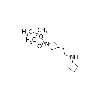 CC(C)(C)OC(=O)N1CC(CCNC2CCC2)C1